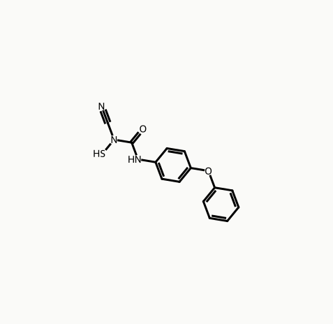 N#CN(S)C(=O)Nc1ccc(Oc2ccccc2)cc1